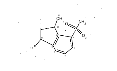 NS(=O)(=O)c1cccc2c1C(O)CC2F